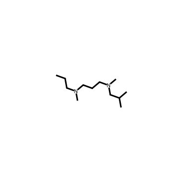 CCCN(C)CCCN(C)CC(C)C